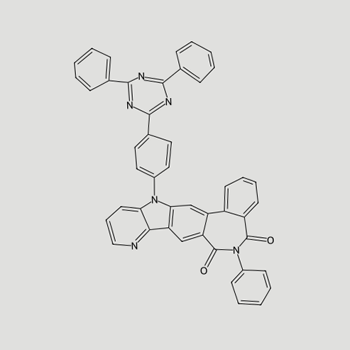 O=c1c2ccccc2c2cc3c(cc2c(=O)n1-c1ccccc1)c1ncccc1n3-c1ccc(-c2nc(-c3ccccc3)nc(-c3ccccc3)n2)cc1